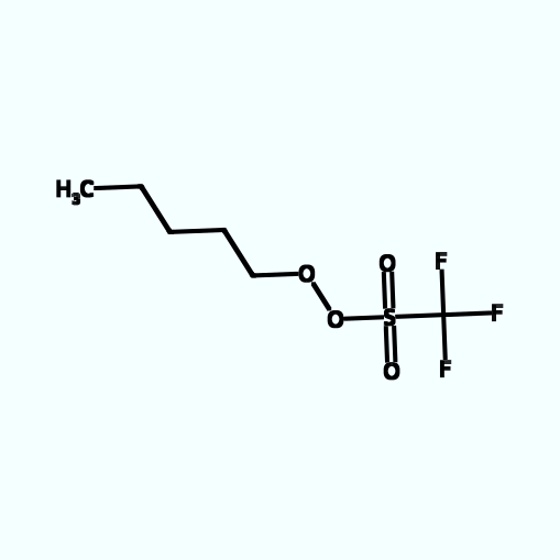 CCCCCOOS(=O)(=O)C(F)(F)F